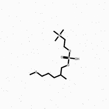 CSCCCC(C)COP(=O)(O)OCC[N+](C)(C)C